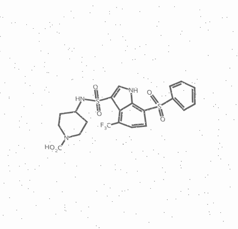 O=C(O)N1CCC(NS(=O)(=O)c2c[nH]c3c(S(=O)(=O)c4ccccc4)ccc(C(F)(F)F)c23)CC1